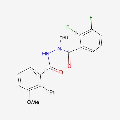 CCc1c(OC)cccc1C(=O)NN(C(=O)c1cccc(F)c1F)C(C)(C)C